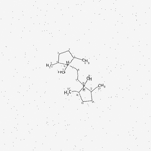 CC1CCC(C)[PH]1(O)CC[PH]1(O)C(C)CCC1C